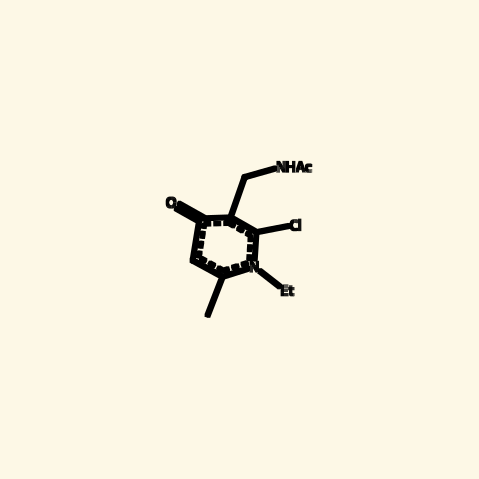 CCn1c(C)cc(=O)c(CNC(C)=O)c1Cl